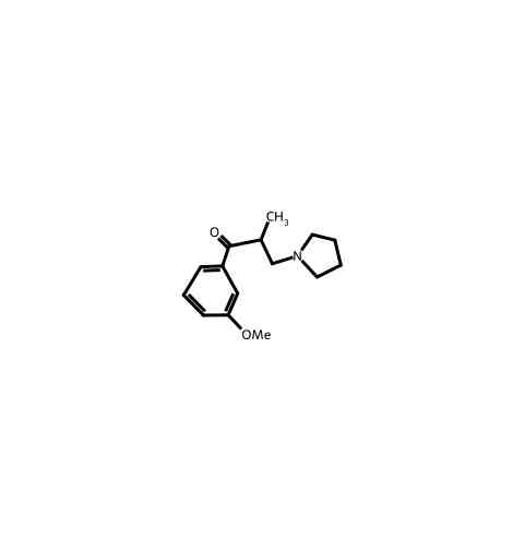 COc1cccc(C(=O)C(C)CN2CCCC2)c1